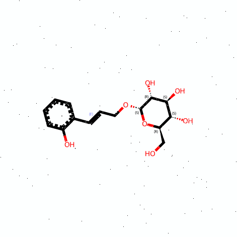 OC[C@H]1O[C@H](OC/C=C/c2ccccc2O)[C@H](O)[C@@H](O)[C@@H]1O